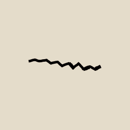 C=CC=CCC=CCCCCCCC